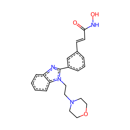 O=C(C=Cc1cccc(-c2nc3ccccc3n2CCN2CCOCC2)c1)NO